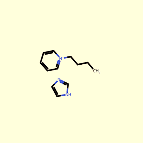 CCCC[n+]1ccccc1.c1c[nH]cn1